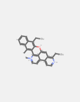 Cc1c2c(c(CC(C)(C)C)c3ccccc13)Oc1cc3c(CC(C)(C)C)nccc3c3cc[n+](C)c-2c13